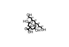 O=C(O)CC(O)(CC(=O)O)C(=O)O.OCCCCCCCCO